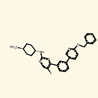 O=C(O)[C@H]1CC[C@H](Nc2ncc(F)c(-c3cccc(-c4ccc(OCc5ccccc5)nc4)c3)n2)CC1